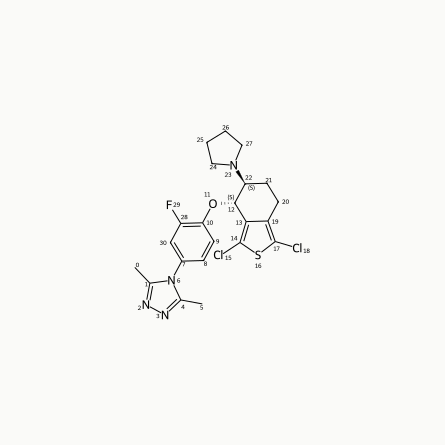 Cc1nnc(C)n1-c1ccc(O[C@H]2c3c(Cl)sc(Cl)c3CC[C@@H]2N2CCCC2)c(F)c1